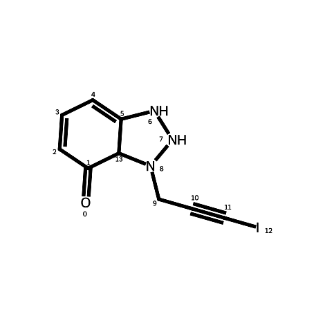 O=C1C=CC=C2NNN(CC#CI)C12